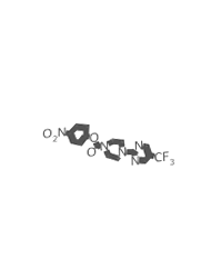 O=C(Oc1ccc([N+](=O)[O-])cc1)N1CCN(c2ncc(C(F)(F)F)cn2)CC1